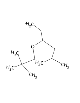 [CH2]CC(CC(C)C)OCC(C)(C)C